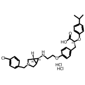 CC(C)c1ccc(O[C@@H](Cc2ccc(OCCN[C@H]3C4CN(Cc5ccc(Cl)cc5)C[C@@H]43)cc2)C(=O)O)cc1.Cl.Cl